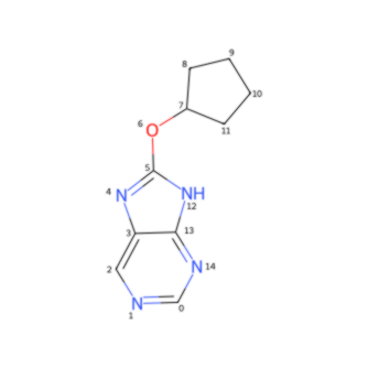 c1ncc2nc(OC3CCCC3)[nH]c2n1